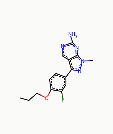 CCCOc1ccc(-c2nn(C)c3nc(N)ncc23)cc1F